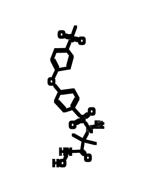 CCN(C(C)(C)C(=O)NO)S(=O)(=O)c1ccc(Oc2ccc(S(C)(=O)=O)cc2)cc1